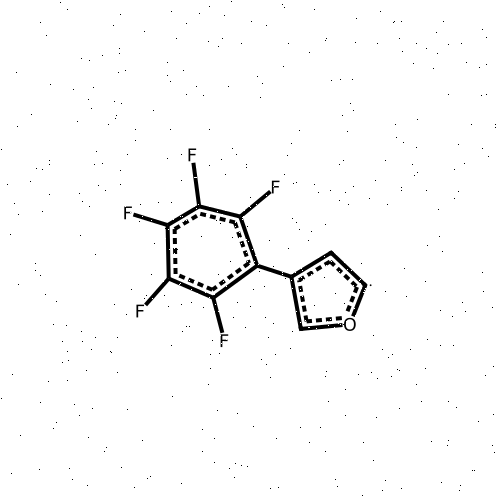 Fc1c(F)c(F)c(-c2c[c]oc2)c(F)c1F